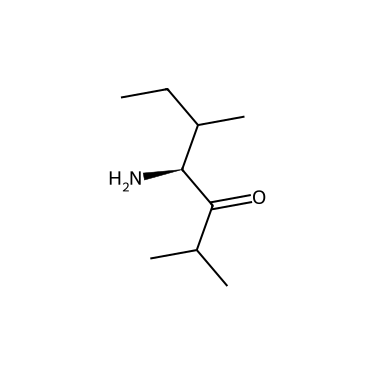 CCC(C)[C@H](N)C(=O)C(C)C